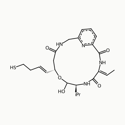 C/C=C1\NC(=O)c2cccc(n2)CNC(=O)C[C@@H](/C=C/CCS)OC(O)[C@H](C(C)C)NC1=O